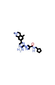 Cc1cc(-c2cnc(N)c(-n3cc(C(=O)NCC4CCCC4)cn3)n2)cc2c1CCN(C)C2